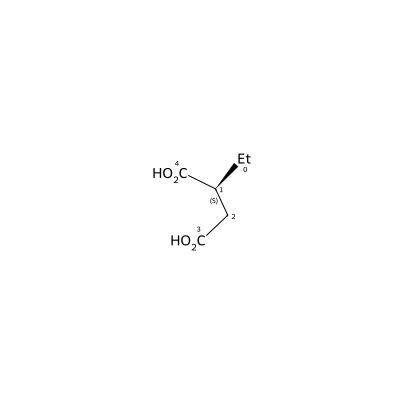 CC[C@@H](CC(=O)O)C(=O)O